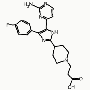 Nc1nccc(-c2[nH]c(C3CCN(CCC(=O)O)CC3)nc2-c2ccc(F)cc2)n1